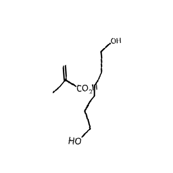 C=C(C)C(=O)O.OCCCCCCO